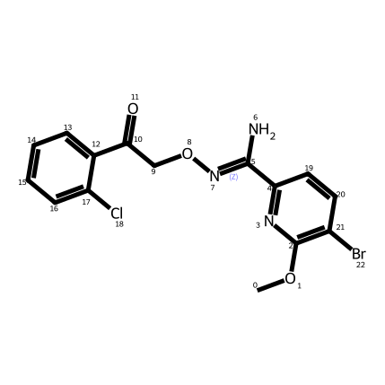 COc1nc(/C(N)=N/OCC(=O)c2ccccc2Cl)ccc1Br